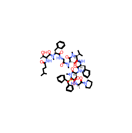 CC(C)CCC(=O)N[C@H](C(=O)N(C)[C@@H](Cc1ccccc1)C(=O)NCC(=O)N(C)[C@@H](CC(C)C)C(=O)N(C)[C@H](C(=O)N[C@@H](Cc1ccccc1)C(=O)N[C@@H](CC(=O)SCc1ccccc1)C(=O)N(C)[C@@H](Cc1ccccc1)C(=O)N[C@@H](C)C(=O)N1CCCCC1)C(C)C)[C@@H](C)O